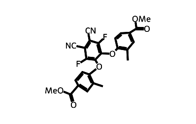 COC(=O)c1ccc(Oc2c(F)c(C#N)c(C#N)c(F)c2Oc2ccc(C(=O)OC)cc2C)c(C)c1